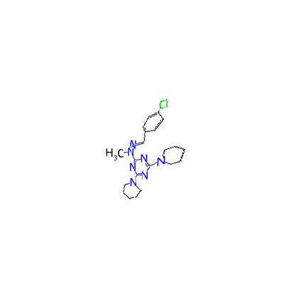 CN(/N=C/c1ccc(Cl)cc1)c1nc(N2CCCCC2)nc(N2CCCCC2)n1